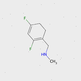 CNCC1=C(F)C=C(F)CC1